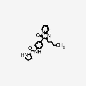 CCCCc1nc2ccccn2c(=O)c1-c1ccc(NC(=O)[C@@H]2CCCN2)cc1